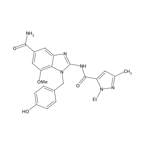 CCn1nc(C)cc1C(=O)Nc1nc2cc(C(N)=O)cc(OC)c2n1Cc1ccc(O)cc1